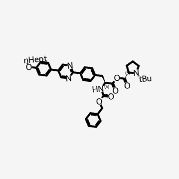 CCCCCCCOc1ccc(-c2cnc(-c3ccc(C[C@H](NC(=O)OCc4ccccc4)C(=O)OC(=O)[C@@H]4CCCN4C(C)(C)C)cc3)nc2)cc1